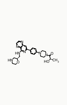 C[C@@H](O)C(=O)N1CCN(c2ccc(-c3cc4nccnc4c(NC[C@@H]4CNCCO4)n3)cc2)CC1